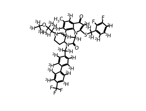 [2H]c1c([2H])c(F)c(F)c(C([2H])([2H])Sc2c([2H])c(=O)c3c([2H])c(C)c([2H])c([2H])c3n2C([2H])([2H])C(=O)N(C2CCN(C([2H])([2H])C([2H])([2H])OC([2H])([2H])[2H])CC2)C([2H])([2H])c2c([2H])c([2H])c(-c3c([2H])c([2H])c(C(F)(F)F)c([2H])c3[2H])c([2H])c2[2H])c1[2H]